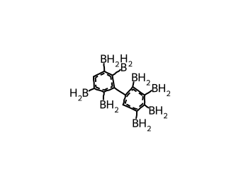 Bc1cc(-c2c(B)c(B)cc(B)c2B)c(B)c(B)c1B